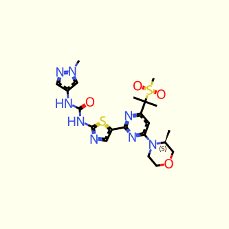 C[C@H]1COCCN1c1cc(C(C)(C)S(C)(=O)=O)nc(-c2cnc(NC(=O)Nc3cnn(C)c3)s2)n1